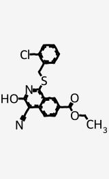 CCOC(=O)c1ccc2c(C#N)c(O)nc(SCc3ccccc3Cl)c2c1